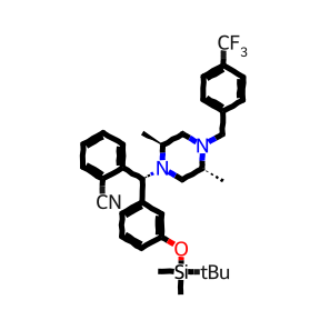 C[C@@H]1CN([C@H](c2cccc(O[Si](C)(C)C(C)(C)C)c2)c2ccccc2C#N)[C@@H](C)CN1Cc1ccc(C(F)(F)F)cc1